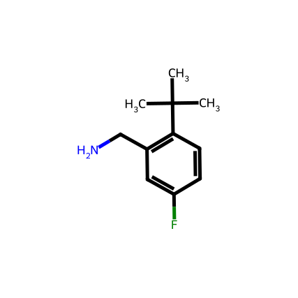 CC(C)(C)c1ccc(F)cc1CN